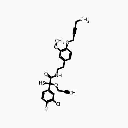 C#CCOC(S)(C(=O)NCCc1ccc(OCC#CCC)c(OC)c1)c1ccc(Cl)c(Cl)c1